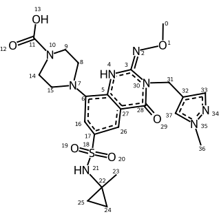 CON=c1[nH]c2c(N3CCN(C(=O)O)CC3)cc(S(=O)(=O)NC3(C)CC3)cc2c(=O)n1Cc1cnn(C)c1